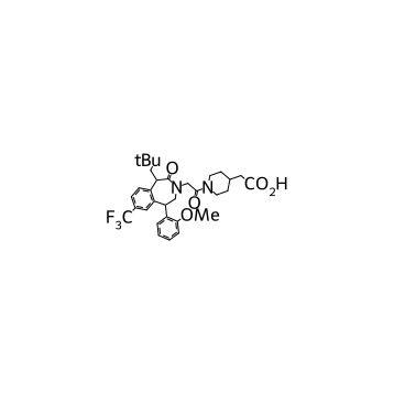 COc1ccccc1C1CN(CC(=O)N2CCC(CC(=O)O)CC2)C(=O)C(CC(C)(C)C)c2ccc(C(F)(F)F)cc21